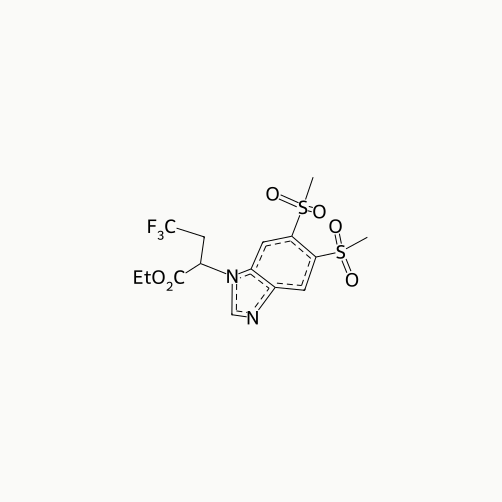 CCOC(=O)C(CC(F)(F)F)n1cnc2cc(S(C)(=O)=O)c(S(C)(=O)=O)cc21